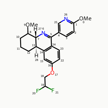 COc1ccc(C2=N[C@H]3C(OC)CCC[C@@H]3c3cc(OCC(F)F)ccc32)cn1